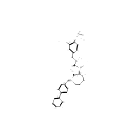 CC(=O)N(C(=O)[C@@H](N)Cc1ccc(OP(=O)(O)O)c(C=O)c1)C1CCCCN(Cc2ccc(-c3ccccc3)cc2)C1=O